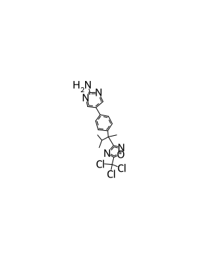 CC(C)C(C)(c1ccc(-c2cnc(N)nc2)cc1)c1noc(C(Cl)(Cl)Cl)n1